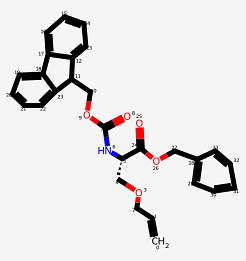 C=CCOC[C@H](NC(=O)OCC1c2ccccc2-c2ccccc21)C(=O)OCc1ccccc1